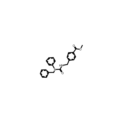 COC(=O)c1ccc(CNC(=O)N(Cc2ccccc2)c2ccccc2)cc1